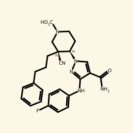 N#C[C@@]1(CCCc2ccccc2)CN(C(=O)O)CC[C@H]1n1cc(C(N)=O)c(Nc2ccc(F)cc2)n1